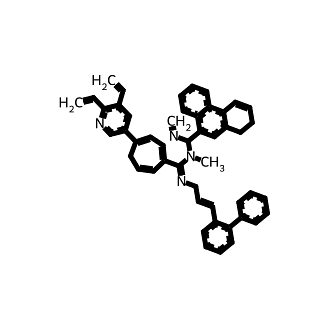 C=Cc1cc(C2=CC=C(/C(=N/C/C=C/c3ccccc3-c3ccccc3)N(C)C(N=C)c3cc4c(c5ccccc35)C=CCC4)C=CC2)cnc1C=C